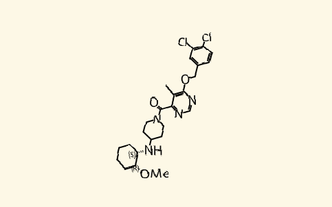 CO[C@@H]1CCCC[C@@H]1NC1CCN(C(=O)c2ncnc(OCc3ccc(Cl)c(Cl)c3)c2C)CC1